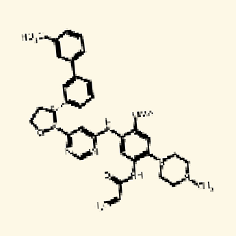 C=CC(=O)Nc1cc(Nc2cc(N3OCC[C@@H]3c3cccc(-c4cccc(C(=O)O)c4)c3)ncn2)c(OC)cc1N1CCN(C)CC1